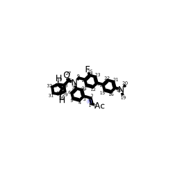 CC(=O)/C=C/c1cccc(N(Cc2ccc(-c3ccc(N(C)C)cc3)cc2F)C(=O)C2C[C@H]3CC[C@@H]2C3)c1